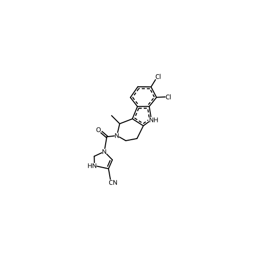 CC1c2c([nH]c3c(Cl)c(Cl)ccc23)CCN1C(=O)N1C=C(C#N)NC1